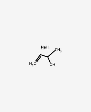 C=CC(C)O.[NaH]